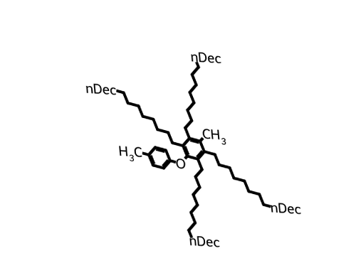 CCCCCCCCCCCCCCCCCCc1c(C)c(CCCCCCCCCCCCCCCCCC)c(CCCCCCCCCCCCCCCCCC)c(Oc2ccc(C)cc2)c1CCCCCCCCCCCCCCCCCC